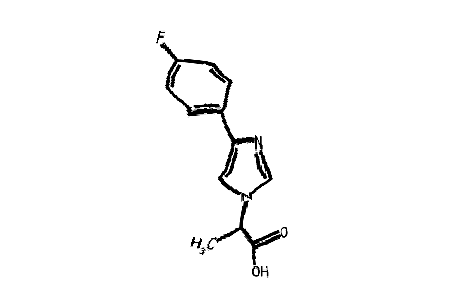 CC(C(=O)O)n1cnc(-c2ccc(F)cc2)c1